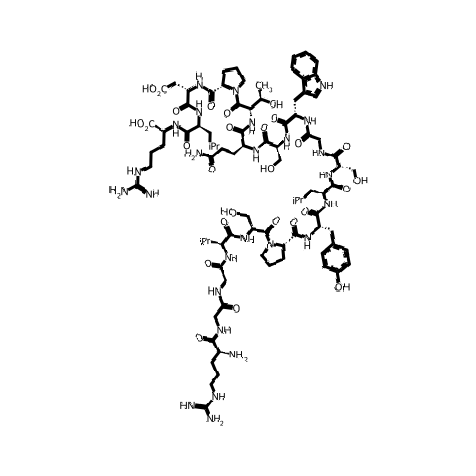 CC(C)C[C@H](NC(=O)[C@H](CC(=O)O)NC(=O)[C@@H]1CCCN1C(=O)[C@@H](NC(=O)[C@H](CCC(N)=O)NC(=O)[C@H](CO)NC(=O)[C@H](Cc1c[nH]c2ccccc12)NC(=O)CNC(=O)[C@H](CO)NC(=O)[C@H](CC(C)C)NC(=O)[C@H](Cc1ccc(O)cc1)NC(=O)[C@@H]1CCCN1C(=O)[C@H](CO)NC(=O)[C@@H](NC(=O)CNC(=O)CNC(=O)[C@@H](N)CCCNC(=N)N)C(C)C)[C@@H](C)O)C(=O)N[C@@H](CCCNC(=N)N)C(=O)O